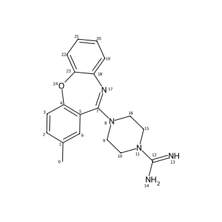 Cc1ccc2c(c1)C(N1CCN(C(=N)N)CC1)=Nc1ccccc1O2